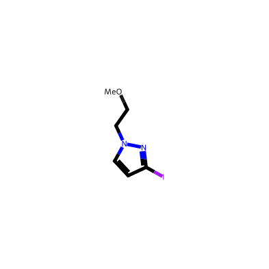 COCCn1ccc(I)n1